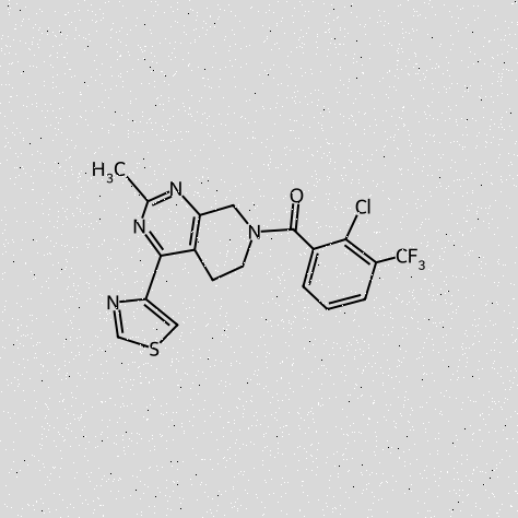 Cc1nc2c(c(-c3cscn3)n1)CCN(C(=O)c1cccc(C(F)(F)F)c1Cl)C2